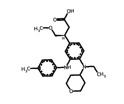 CCN(c1ccc([C@@H](COC)CC(=O)O)cc1Nc1ccc(C)cc1)C1CCOCC1